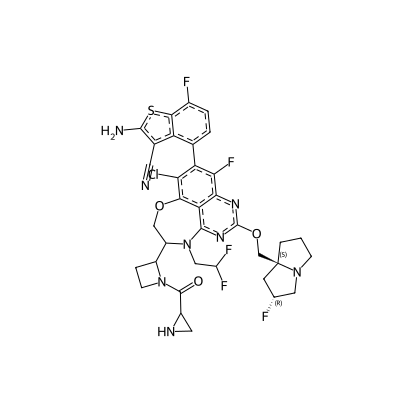 N#Cc1c(N)sc2c(F)ccc(-c3c(Cl)c4c5c(nc(OC[C@@]67CCCN6C[C@H](F)C7)nc5c3F)N(CC(F)F)C(C3CCN3C(=O)C3CN3)CO4)c12